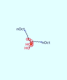 CCCCCCCC/C=C/CCCCCCCC(=O)OCC(COP(=O)(O)OCCO)OC(=O)CCCCCCC/C=C/CCCCCCCC